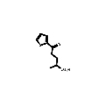 CC(CCC(=O)c1cccs1)C(=O)O